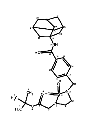 CC(C)(C)OC(=O)CN1CCN(Cc2ccc(C(=O)NC34CC5CC(CC(C5)C3)C4)cc2)S1(=O)=O